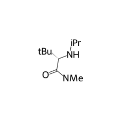 CNC(=O)[C@@H](NC(C)C)C(C)(C)C